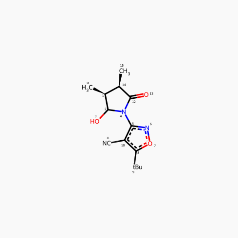 C[C@@H]1C(O)N(c2noc(C(C)(C)C)c2C#N)C(=O)[C@@H]1C